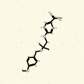 COc1ccc(COC(C)(C)COc2cnc(C(=O)O)cn2)cc1